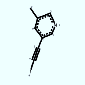 Cc1cncc(C#CI)c1